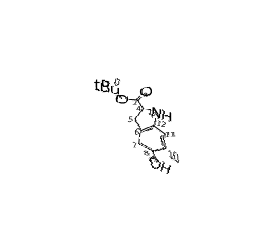 CC(C)(C)OC(=O)C1Cc2cc(O)ccc2N1